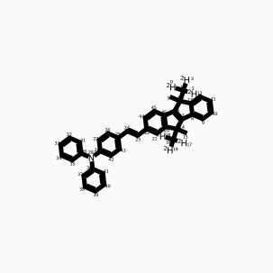 [2H]C([2H])([2H])C1(C)C2=C(c3ccccc31)C(C)(C([2H])([2H])[2H])c1cc(/C=C/c3ccc(N(c4ccccc4)c4ccccc4)cc3)ccc12